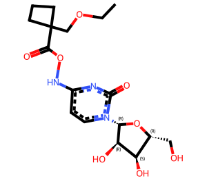 CCOCC1(C(=O)ONc2ccn([C@@H]3O[C@H](CO)[C@@H](O)[C@H]3O)c(=O)n2)CCC1